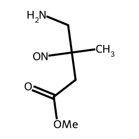 COC(=O)CC(C)(CN)N=O